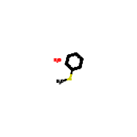 CSc1ccccc1.O